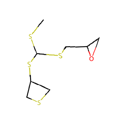 CSC(SCC1CO1)SC1CSC1